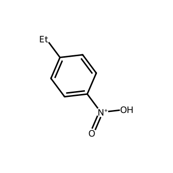 CCc1ccc([N+](=O)O)cc1